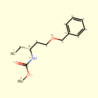 CC(C)(C)OC(=O)N[C@H](CC#N)CCOCc1ccccc1